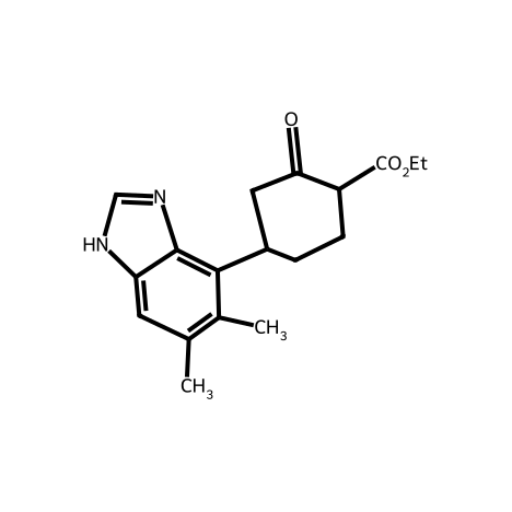 CCOC(=O)C1CCC(c2c(C)c(C)cc3[nH]cnc23)CC1=O